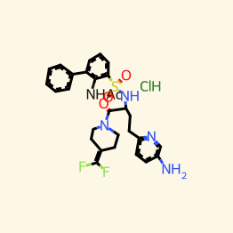 CC(=O)Nc1c(-c2ccccc2)cccc1S(=O)(=O)NC(CCc1ccc(N)cn1)C(=O)N1CCC(=C(F)F)CC1.Cl